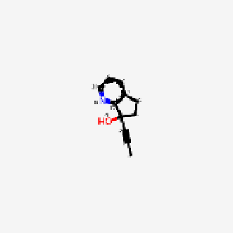 CC#CC1(O)CCc2cccnc21